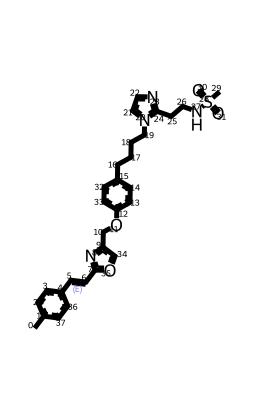 Cc1ccc(/C=C/c2nc(COc3ccc(CCCCn4ccnc4CCNS(C)(=O)=O)cc3)co2)cc1